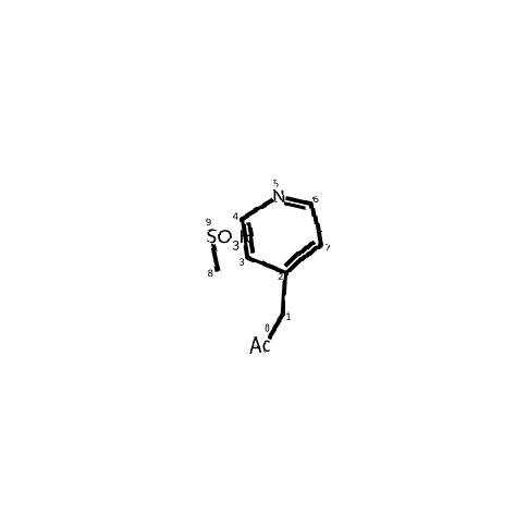 CC(=O)Cc1ccncc1.CS(=O)(=O)O